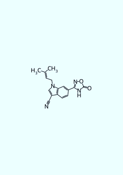 CC(C)=CCn1cc(C#N)c2ccc(-c3noc(=O)[nH]3)cc21